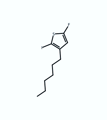 CCCCCCc1cc(F)sc1I